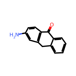 Nc1ccc2c(c1)Cc1ccccc1C2=O